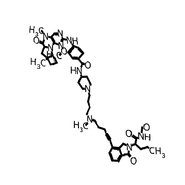 CCCC(C(=O)NC=O)N1Cc2c(C#CCCCN(C)CCCCN3CCC(NC(=O)c4ccc(Nc5ncc6c(n5)N5C(CC7(C)CCC57)C(=O)N6C)c(OC)c4)CC3)cccc2C1=O